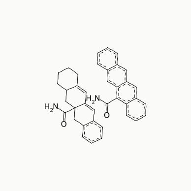 NC(=O)C12Cc3ccccc3C=C1C=C1CCCCC1C2.NC(=O)c1c2ccccc2cc2cc3ccccc3cc12